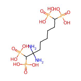 NC(N)(CCCCCC(P(=O)(O)O)P(=O)(O)O)C(P(=O)(O)O)P(=O)(O)O